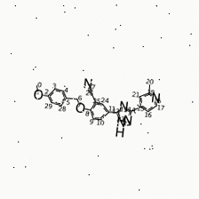 COc1ccc(COc2ccc(-c3nc(-c4ccnc(C)c4)n[nH]3)cc2C#N)cc1